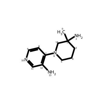 CC1(N)CCCN(c2ccncc2N)C1